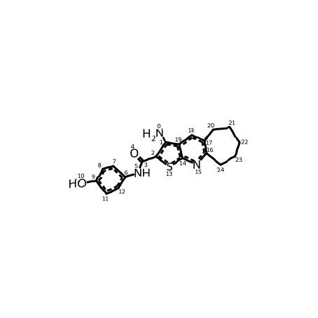 Nc1c(C(=O)Nc2ccc(O)cc2)sc2nc3c(cc12)CCCCC3